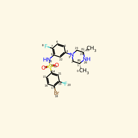 C[C@@H]1CN(c2ccc(F)c(NS(=O)(=O)c3ccc(Br)c(F)c3)c2)C[C@H](C)N1